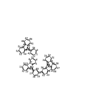 c1cc(-c2ccc3c(c2)c2ccccc2n3-c2cccc(-c3ccc4c5cccc6c7ccccc7n(c4c3)c65)c2)cc(-n2c3ccccc3c3ccccc32)c1